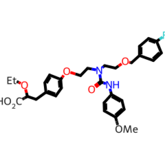 CCOC(Cc1ccc(OCCN(CCOCc2ccc(F)cc2)C(=O)Nc2ccc(OC)cc2)cc1)C(=O)O